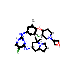 CC1(C)C[C@H](Nc2nc(Nc3ccc(OC4CCN(C5COC5)C[C@H]4F)c(C(F)(F)F)c3)ncc2F)CC2CCCN21